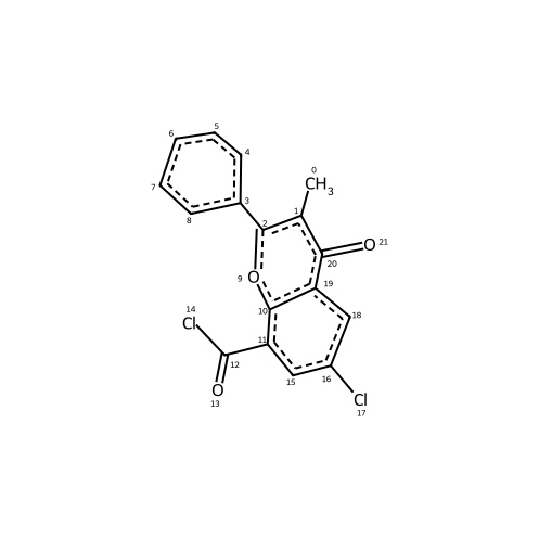 Cc1c(-c2ccccc2)oc2c(C(=O)Cl)cc(Cl)cc2c1=O